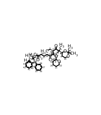 CC[C@@H](C(=O)C(C)(C)[C@@H]1CCOC(C)(C)O1)C(OC1CCCCO1)[C@@H](C)CCCC(C)O[Si](c1ccccc1)(c1ccccc1)C(C)(C)C